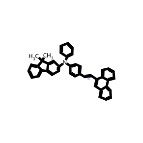 CC1(C)c2ccccc2-c2ccc(N(c3ccccc3)c3ccc(/C=C/c4cc5ccccc5c5ccccc45)cc3)cc21